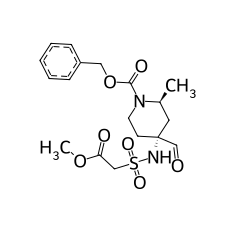 COC(=O)CS(=O)(=O)N[C@]1(C=O)CCN(C(=O)OCc2ccccc2)[C@@H](C)C1